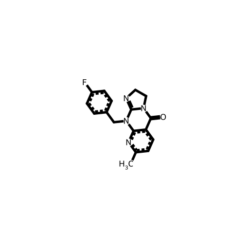 Cc1ccc2c(n1)N(Cc1ccc(F)cc1)C1=NCCN1C2=O